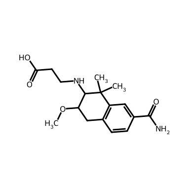 COC1Cc2ccc(C(N)=O)cc2C(C)(C)C1NCCC(=O)O